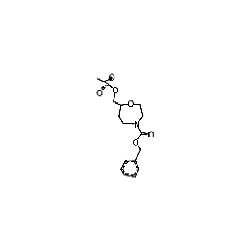 CS(=O)(=O)OCC1CCN(C(=O)OCc2ccccc2)CCO1